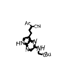 CC(=O)/C(C#N)=C/Cc1c[nH]c2ncc(NCC(C)(C)C)nc12